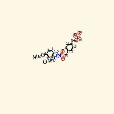 COc1ccc(CNS(=O)(=O)Cc2ccc(COS(C)(=O)=O)cc2)c(OC)c1